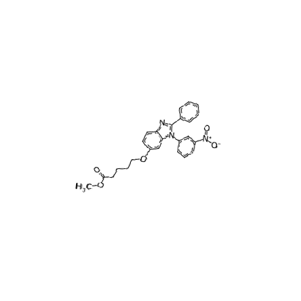 COC(=O)CCCCOc1ccc2nc(-c3ccccc3)n(-c3cccc([N+](=O)[O-])c3)c2c1